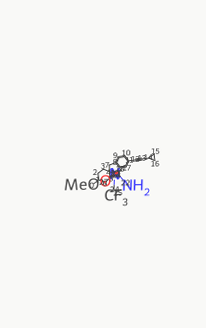 COC1CCC2(CC1)Cc1ccc(C#CC3CC3)cc1C21N=C(N)N(CC(F)(F)F)C1=O